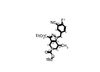 CCOC(=O)c1nn(Cc2ccc(F)c(C#N)c2)c2c1CN(C(=O)OC(C)(C)C)CC2C